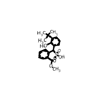 COC(=O)c1ccccc1C(c1cccc(C(C)(C)C)c1O)S(=O)(=O)O